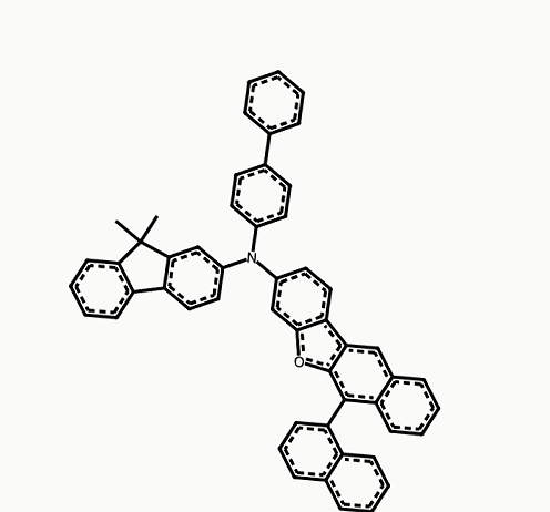 CC1(C)c2ccccc2-c2ccc(N(c3ccc(-c4ccccc4)cc3)c3ccc4c(c3)oc3c(-c5cccc6ccccc56)c5ccccc5cc34)cc21